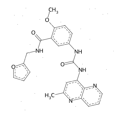 COc1ccc(NC(=O)Nc2cc(C)nc3cccnc23)cc1C(=O)NCc1ccco1